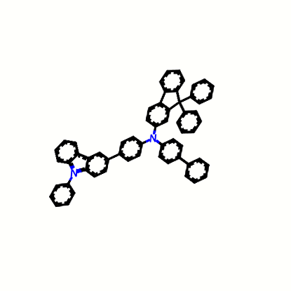 c1ccc(-c2ccc(N(c3ccc(-c4ccc5c(c4)c4ccccc4n5-c4ccccc4)cc3)c3ccc4c(c3)C(c3ccccc3)(c3ccccc3)c3ccccc3-4)cc2)cc1